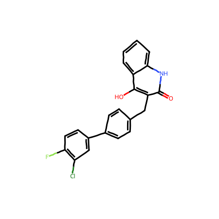 O=c1[nH]c2ccccc2c(O)c1Cc1ccc(-c2ccc(F)c(Cl)c2)cc1